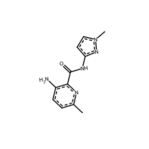 Cc1ccc(N)c(C(=O)Nc2ccn(C)n2)n1